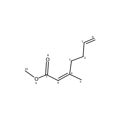 C=CCC/C(C)=C\C(=O)OC